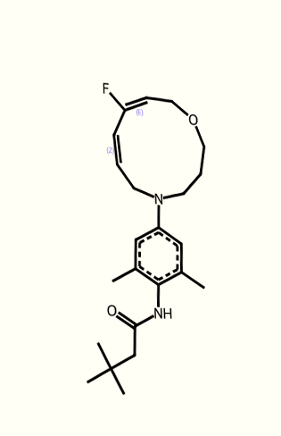 Cc1cc(N2C/C=C\C(F)=C/COCCC2)cc(C)c1NC(=O)CC(C)(C)C